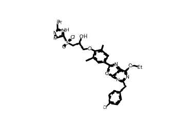 CCOc1nc(Cc2ccc(Cl)cc2)nc2oc(-c3cc(C)c(OCC(O)CS(=O)(=O)c4nnc(C(C)C)[nH]4)c(C)c3)nc12